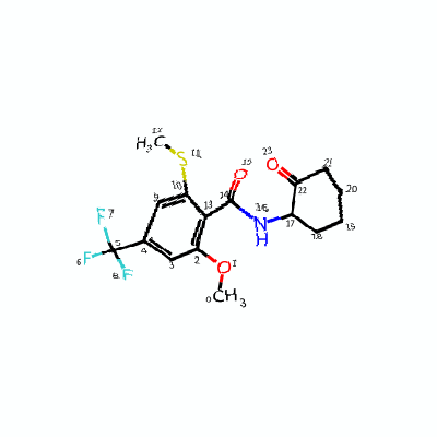 COc1cc(C(F)(F)F)cc(SC)c1C(=O)NC1CCCCC1=O